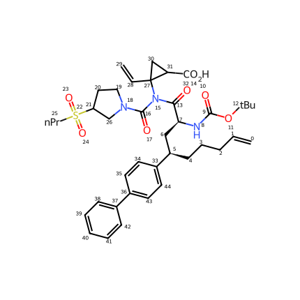 C=CCCC[C@H](C[C@H](NC(=O)OC(C)(C)C)C(=O)N(C(=O)N1CCC(S(=O)(=O)CCC)C1)C1(C=C)CC1C(=O)O)c1ccc(-c2ccccc2)cc1